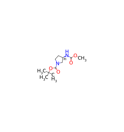 COC(=O)N[C@@H]1CCN(C(=O)OC(C)(C)C)C1